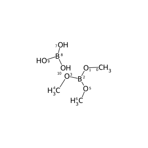 COB(OC)OC.OB(O)O